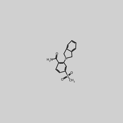 CS(=O)(=O)c1ccc(C(N)=O)c(N2Cc3ccccc3C2)c1